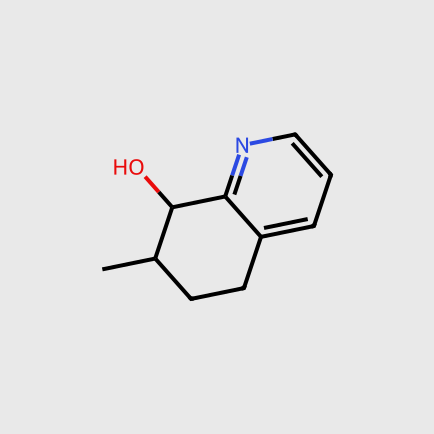 CC1CCc2cccnc2C1O